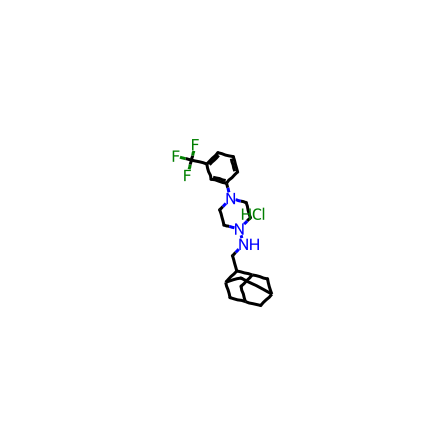 Cl.FC(F)(F)c1cccc(N2CCN(NCC3C4CC5CC(C4)CC3C5)CC2)c1